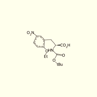 CCOc1ccc([N+](=O)[O-])cc1C[C@H](NC(=O)OC(C)(C)C)C(=O)O